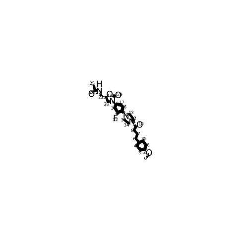 COc1ccc(CCCC(=O)N2CCN(c3ccc(N4C[C@H](CNC(C)=O)OC4=O)cc3F)CC2)cc1